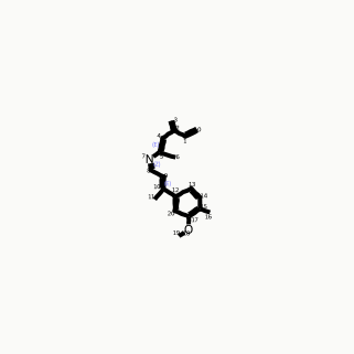 C=CC(=C)/C=C(C)/N=C\C=C(/C)c1ccc(C)c(OC)c1